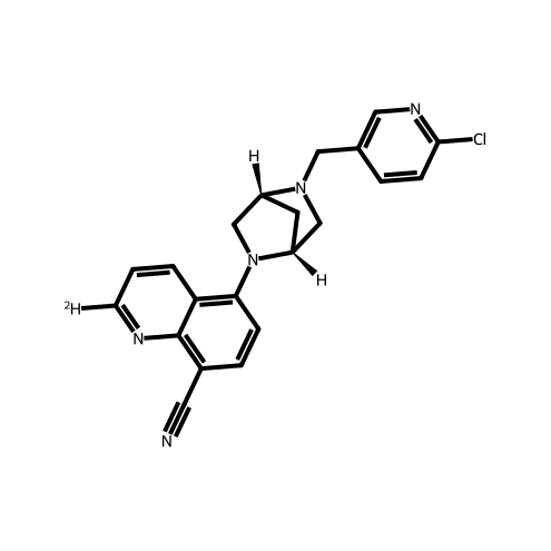 [2H]c1ccc2c(N3C[C@H]4C[C@@H]3CN4Cc3ccc(Cl)nc3)ccc(C#N)c2n1